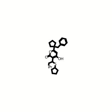 CC(C)CC(SC1CCCC1)c1c(O)cc(C2(Cc3ccccc3)CCCC2)oc1=O